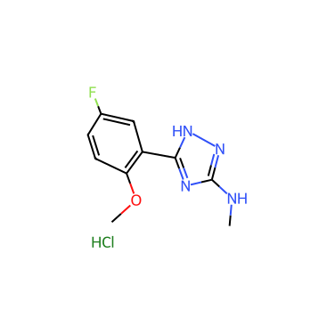 CNc1n[nH]c(-c2cc(F)ccc2OC)n1.Cl